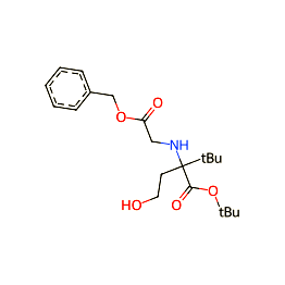 CC(C)(C)OC(=O)C(CCO)(NCC(=O)OCc1ccccc1)C(C)(C)C